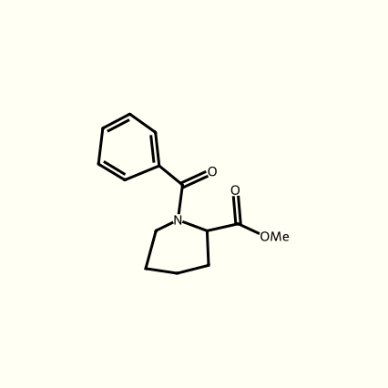 COC(=O)C1CCCCN1C(=O)c1ccccc1